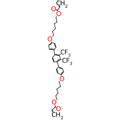 C=CC(=O)OCCCCCCOc1ccc(-c2ccc(-c3ccc(OCCCCCCOC(=O)C=C)cc3)c(C(F)(F)F)c2C(F)(F)F)cc1